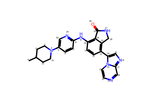 CC1CCN(c2ccc(Nc3ccc(-c4cnc5cnccn45)c4c3C(=O)NC4)nc2)CC1